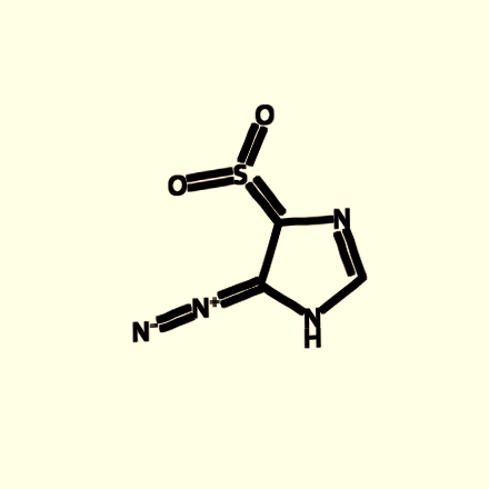 [N-]=[N+]=C1NC=NC1=S(=O)=O